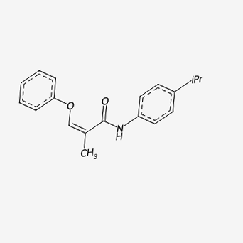 CC(=COc1ccccc1)C(=O)Nc1ccc(C(C)C)cc1